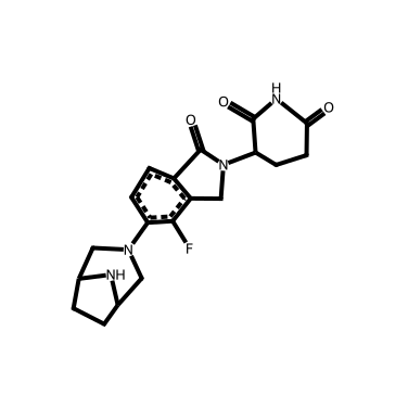 O=C1CCC(N2Cc3c(ccc(N4CC5CCC(C4)N5)c3F)C2=O)C(=O)N1